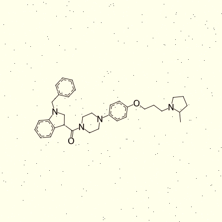 CC1CCCN1CCCOc1ccc(N2CCN(C(=O)C3CN(Cc4ccccc4)c4ccccc43)CC2)cc1